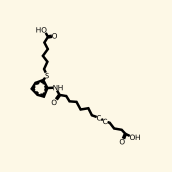 O=C(O)CCCCCCCCCCCC(=O)Nc1ccccc1SCCCCCC(=O)O